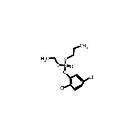 CCCSP(=O)(OCC)Oc1cc(Cl)ccc1Cl